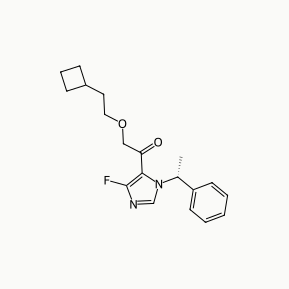 C[C@H](c1ccccc1)n1cnc(F)c1C(=O)COCCC1CCC1